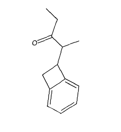 CCC(=O)C(C)C1Cc2ccccc21